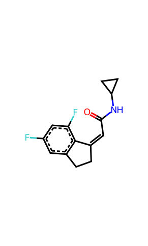 O=C(/C=C1/CCc2cc(F)cc(F)c21)NC1CC1